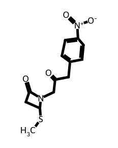 CSC1CC(=O)N1CC(=O)Cc1ccc([N+](=O)[O-])cc1